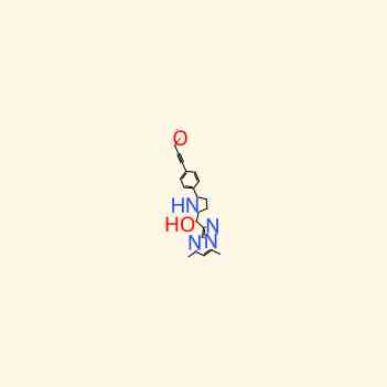 COCC#Cc1ccc(C2CCC(C(O)c3ncn4c(C)cc(C)nc34)N2)cc1